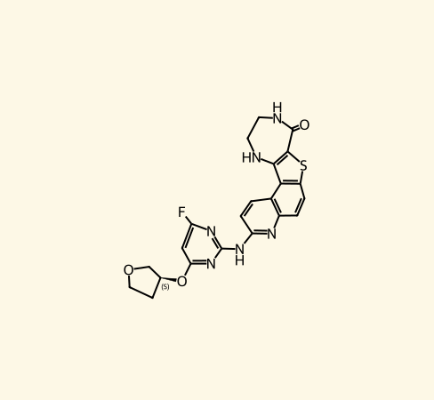 O=C1NCCNc2c1sc1ccc3nc(Nc4nc(F)cc(O[C@H]5CCOC5)n4)ccc3c21